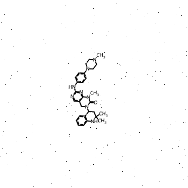 CN1CCN(c2ccc(Nc3ncc4c(n3)N(C)C(=O)N(C3CC(C)(C)Nc5ccccc53)C4)cc2)CC1